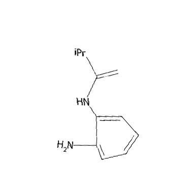 C=C(Nc1ccccc1N)C(C)C